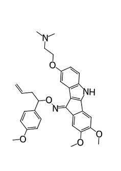 C=CCC(ON=C1c2cc(OC)c(OC)cc2-c2[nH]c3ccc(OCCN(C)C)cc3c21)c1ccc(OC)cc1